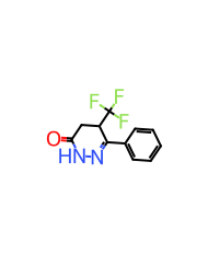 O=C1CC(C(F)(F)F)C(c2ccccc2)=NN1